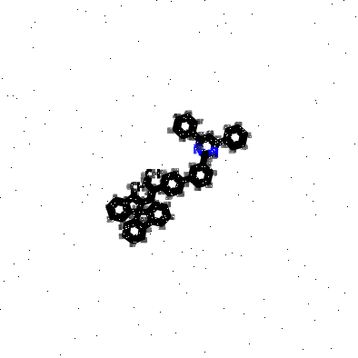 C=C/C(=C\C1=C(C)c2ccccc2C12c1ccccc1-c1ccccc12)c1ccc(-c2cccc(-c3nc(-c4ccccc4)cc(-c4ccccc4)n3)c2)cc1